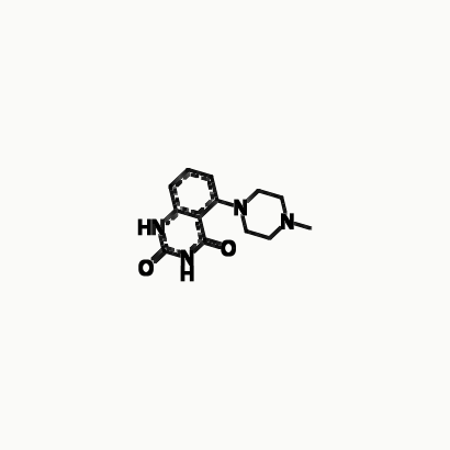 CN1CCN(c2cccc3[nH]c(=O)[nH]c(=O)c23)CC1